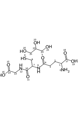 NC(CCC(=O)NC(CS)C(=O)NCC(=O)O)C(=O)O.OCC(O)CO